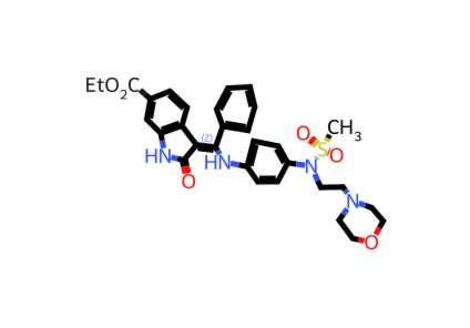 CCOC(=O)c1ccc2c(c1)NC(=O)/C2=C(\Nc1ccc(N(CCN2CCOCC2)S(C)(=O)=O)cc1)c1ccccc1